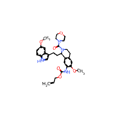 C=CCOC(=O)Nc1cc2c(cc1OC)CCN(C(=O)N1CCOCC1)C2CCc1c[nH]c2ccc(OC)cc12